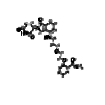 NC(=O)c1ccccc1OCCOCCCNc1cccc2c1CN(C1CCC(=O)NC1=O)C2=O